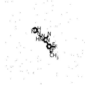 CCOc1ccc(-c2cc3[nH]c(CNc4cccnc4)nc3c(C#N)n2)cc1C(F)(F)F